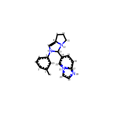 Cc1cccc(N2C=C3CCCN3C2c2ccc3nccn3c2)c1